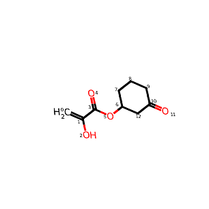 C=C(O)C(=O)OC1CCCC(=O)C1